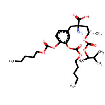 CCCCCOC(=O)Oc1ccc(CC(N)(C[C@H](C)OC(=O)OC(C)C(C)C)C(=O)O)cc1OC(=O)OCCCCC